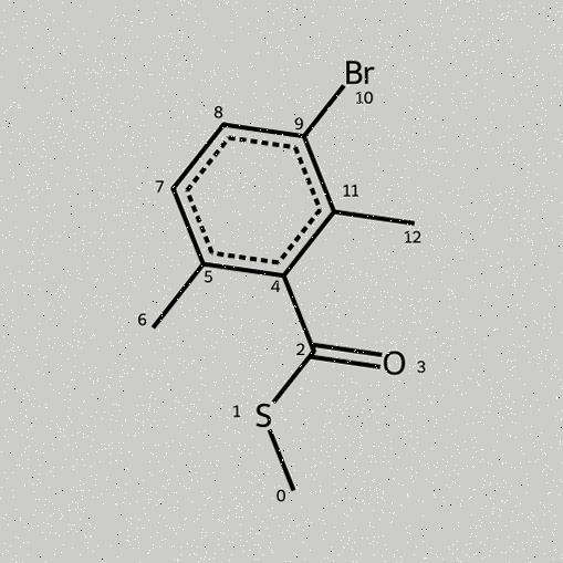 CSC(=O)c1c(C)ccc(Br)c1C